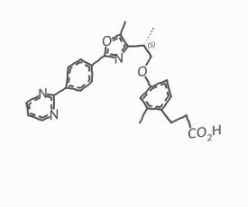 Cc1cc(OC[C@@H](C)c2nc(-c3ccc(-c4ncccn4)cc3)oc2C)ccc1CCC(=O)O